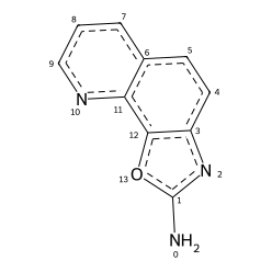 Nc1nc2ccc3cccnc3c2o1